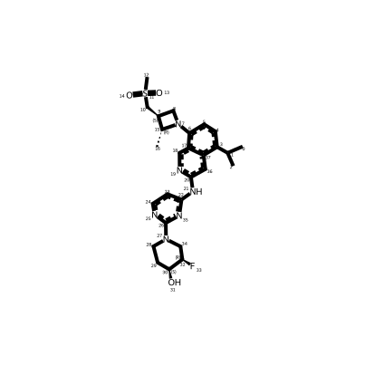 CC(C)c1ccc(N2C[C@H](CS(C)(=O)=O)[C@H]2C)c2cnc(Nc3ccnc(N4CC[C@H](O)[C@H](F)C4)n3)cc12